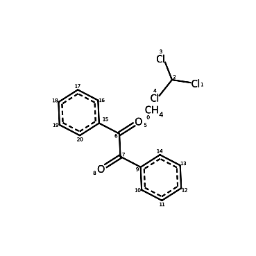 C.ClC(Cl)Cl.O=C(C(=O)c1ccccc1)c1ccccc1